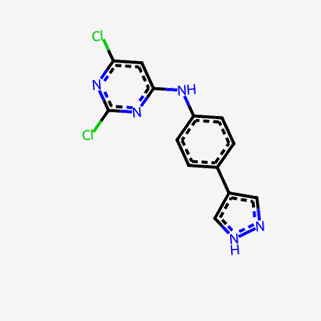 Clc1cc(Nc2ccc(-c3cn[nH]c3)cc2)nc(Cl)n1